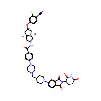 N#Cc1ccc(O[C@H]2C[C@H]3C[C@H](NC(=O)c4ccc(N5CCN(CC6CCN(c7ccc8c(c7)C(=O)N(C7CCC(=O)NC7=O)C8=O)CC6)CC5)cc4)C[C@H]3C2)cc1Cl